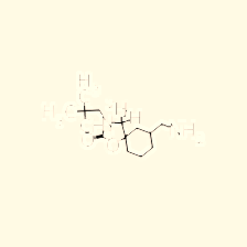 [2H]C1([2H])N(CC(C)(C)C)C(=O)OC12CCCC(CN)C2